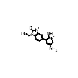 Cn1c(=O)n(CC(C)(C)C)c2ccc(-c3cc(N)cnc3N)cc21